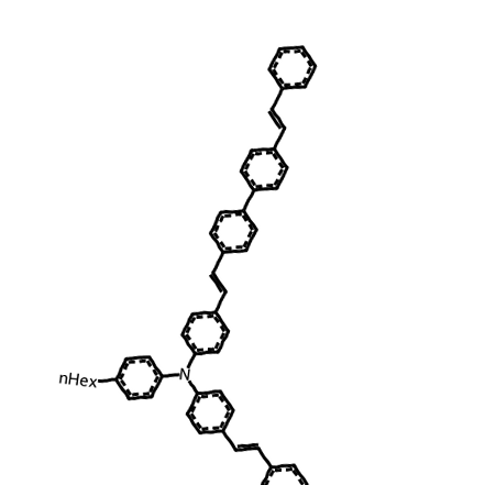 CCCCCCc1ccc(N(c2ccc(/C=C/c3ccccc3)cc2)c2ccc(/C=C/c3ccc(-c4ccc(/C=C/c5ccccc5)cc4)cc3)cc2)cc1